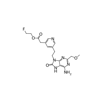 COCc1nc(N)c2[nH]c(=O)n(CCc3cncc(CC(=O)OCCF)c3)c2n1